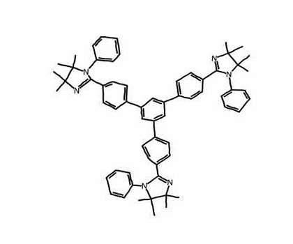 CC1(C)N=C(c2ccc(-c3cc(-c4ccc(C5=NC(C)(C)C(C)(C)N5c5ccccc5)cc4)cc(-c4ccc(C5=NC(C)(C)C(C)(C)N5c5ccccc5)cc4)c3)cc2)N(c2ccccc2)C1(C)C